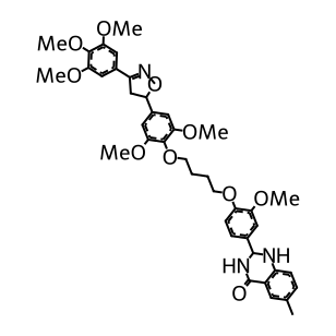 COc1cc(C2NC(=O)c3cc(C)ccc3N2)ccc1OCCCCOc1c(OC)cc(C2CC(c3cc(OC)c(OC)c(OC)c3)=NO2)cc1OC